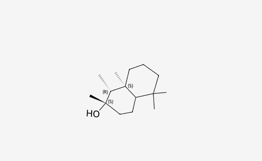 C[C@H]1[C@@](C)(O)CCC2C(C)(C)CCC[C@@]21C